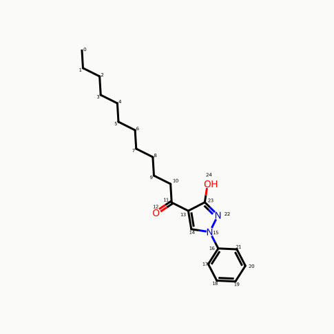 CCCCCCCCCCCC(=O)c1cn(-c2ccccc2)nc1O